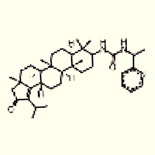 CC(C)C1=C2[C@H]3CC[C@@H]4[C@@]5(C)CCC(NC(=O)NC(C)c6ccccn6)C(C)(C)[C@@H]5CC[C@@]4(C)[C@]3(C)CC[C@@]2(C)CC1=O